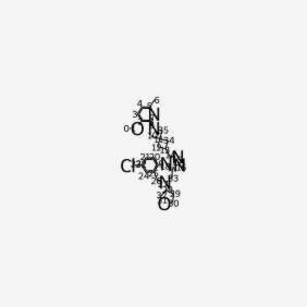 COc1ccc(C)nc1N1CC2(CC(c3nnc4n3-c3ccc(Cl)cc3CN([C@H]3CCOC3)C4)C2)C1